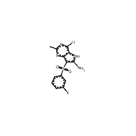 Cc1nc(Cl)c2[nH]c(N)c(S(=O)(=O)c3cccc(F)c3)c2n1